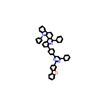 c1ccc(-c2cc(-c3ccc(-c4cccc5c4nc(-c4ccccc4)c4ccc6c7ccccc7n(-c7ccccc7)c6c45)cc3)nc(-c3ccc4c(c3)oc3ccccc34)n2)cc1